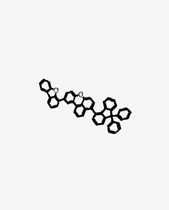 c1ccc(C2(c3ccccc3)c3ccccc3-c3c(-c4ccc5c6c(cccc46)-c4cc(-c6cccc7c6oc6ccccc67)ccc4O5)cccc32)cc1